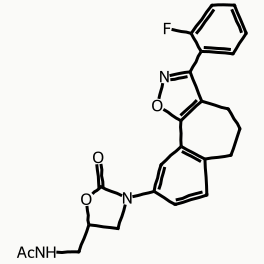 CC(=O)NCC1CN(c2ccc3c(c2)-c2onc(-c4ccccc4F)c2CCC3)C(=O)O1